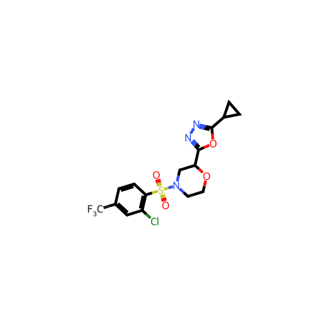 O=S(=O)(c1ccc(C(F)(F)F)cc1Cl)N1CCOC(c2nnc(C3CC3)o2)C1